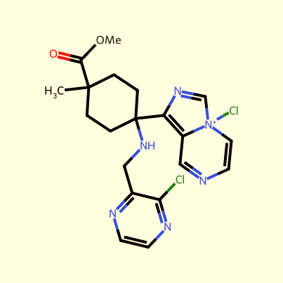 COC(=O)C1(C)CCC(NCc2nccnc2Cl)(C2=C3C=NC=C[N+]3(Cl)C=N2)CC1